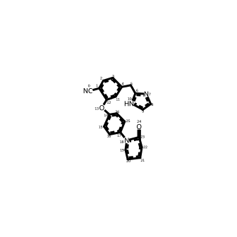 N#Cc1ccc(Cc2ncc[nH]2)cc1Oc1ccc(-n2ccccc2=O)cc1